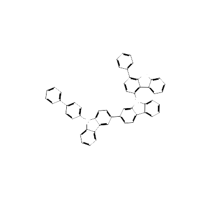 c1ccc(-c2ccc(-n3c4ccccc4c4cc(-c5ccc6c7ccccc7n(-c7ccc(-c8ccccc8)c8oc9ccccc9c78)c6c5)ccc43)cc2)cc1